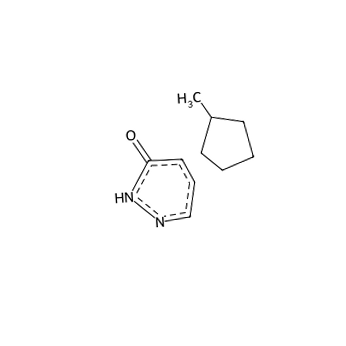 CC1CCCC1.O=c1cccn[nH]1